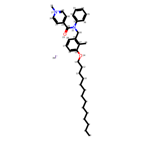 CCCCCCCCCCCCCCOc1cccc(CN(C(=O)c2cc[n+](C)cc2)c2ccccc2)c1C.[I-]